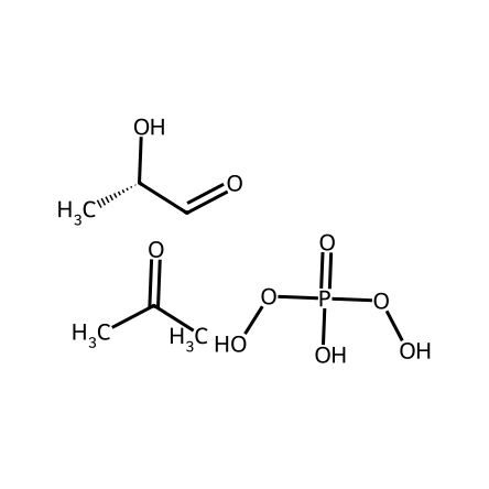 CC(C)=O.C[C@H](O)C=O.O=P(O)(OO)OO